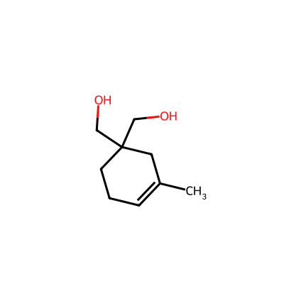 CC1=CCCC(CO)(CO)C1